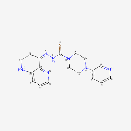 S=C(N/N=C1/CCNc2cccnc21)N1CCN(c2cccnc2)CC1